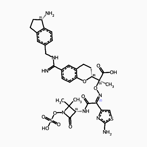 CC1(C)[C@H](NC(=O)/C(=N\O[C@](C)(C(=O)O)[C@H]2CCc3cc(C(=N)NCc4ccc5c(c4)CC[C@@H]5N)ccc3O2)c2csc(N)n2)C(=O)N1OS(=O)(=O)O